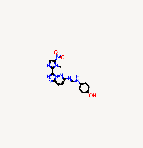 Cn1c([N+](=O)[O-])cnc1-c1nnc2ccc(N=CNC3CCC(O)CC3)nn12